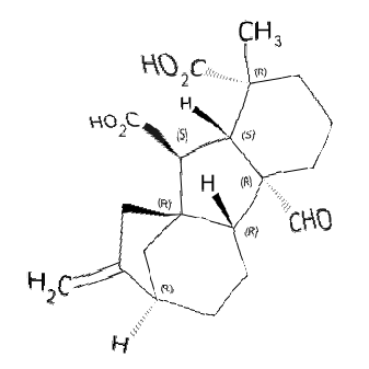 C=C1C[C@]23C[C@H]1CC[C@H]2[C@]1(C=O)CCC[C@@](C)(C(=O)O)[C@H]1[C@@H]3C(=O)O